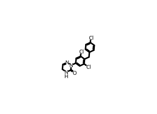 O=C1NCC=NN1c1cc(Cl)c(Cc2ccc(Cl)cc2)c(Cl)c1